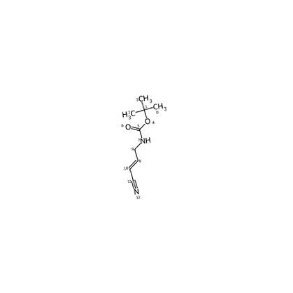 CC(C)(C)OC(=O)NC/C=C/C#N